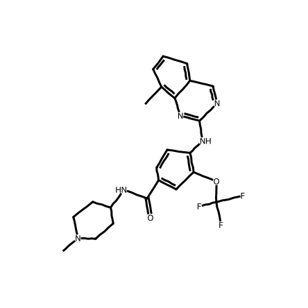 Cc1cccc2cnc(Nc3ccc(C(=O)NC4CCN(C)CC4)cc3OC(F)(F)F)nc12